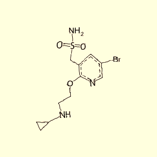 NS(=O)(=O)Cc1cc(Br)cnc1OCCNC1CC1